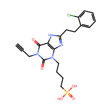 C#CCn1c(=O)c2[nH]c(CCc3ccccc3Cl)nc2n(CCCCP(=O)(O)O)c1=O